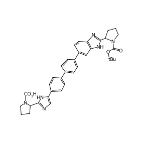 CC(C)(C)OC(=O)N1CCCC1c1nc2ccc(-c3ccc(-c4ccc(-c5cnc(C6CCCN6C(=O)O)[nH]5)cc4)cc3)cc2[nH]1